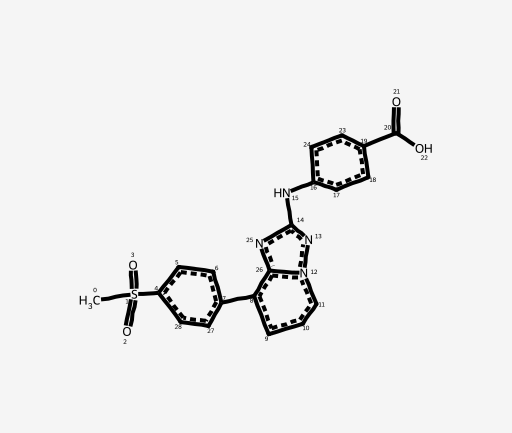 CS(=O)(=O)c1ccc(-c2cccn3nc(Nc4ccc(C(=O)O)cc4)nc23)cc1